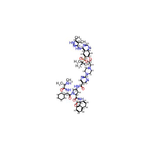 CN[C@@H](C)C(=O)N[C@H](C(=O)N1C[C@@H](NC(=O)c2cnc(N3CCN(CCOc4cc5ncnc(Nc6n[nH]c(C)c6C)c5cc4S(=O)(=O)C(C)(C)C)CC3)nc2)C[C@H]1C(=O)N[C@]1(C=O)C=CCc2ccccc21)C1CCCCC1